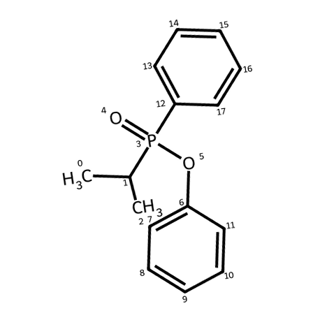 CC(C)P(=O)(Oc1ccccc1)c1ccccc1